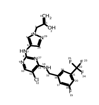 C=C(O)Cn1cc(Nc2ncc(Cl)c(NCc3cc(F)cc(C(F)(F)F)c3)n2)cn1